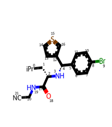 CC(C)C[C@H](N[C@@H](c1ccc(Br)cc1)c1ccsc1)C(=O)NCC#N